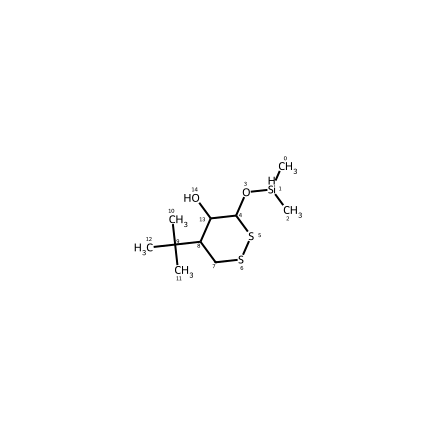 C[SiH](C)OC1SSCC(C(C)(C)C)C1O